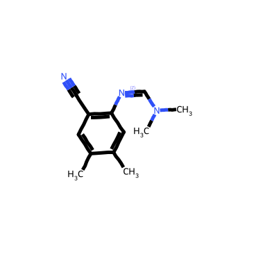 Cc1cc(C#N)c(/N=C\N(C)C)cc1C